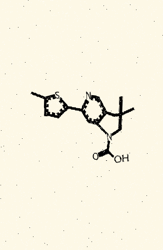 Cc1ccc(-c2cc3c(cn2)C(C)(C)CN3C(=O)O)s1